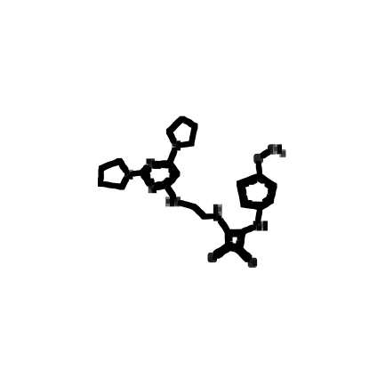 COc1ccc(Nc2c(NCCNc3cc(N4CCCC4)nc(N4CCCC4)n3)c(=O)c2=O)cc1